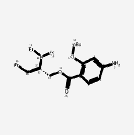 CCCCOc1cc(N)ccc1C(=O)OC[C@H](CC(C)C)N(CC)CC